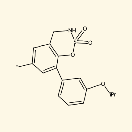 CC(C)Oc1cccc(-c2cc(F)cc3c2OS(=O)(=O)NC3)c1